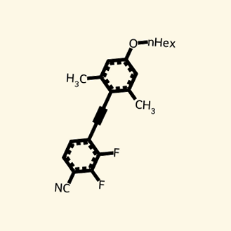 CCCCCCOc1cc(C)c(C#Cc2ccc(C#N)c(F)c2F)c(C)c1